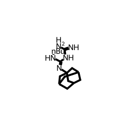 CCCCNC(=NC12CC3CC(CC(C3)C1)C2)NC(=N)N